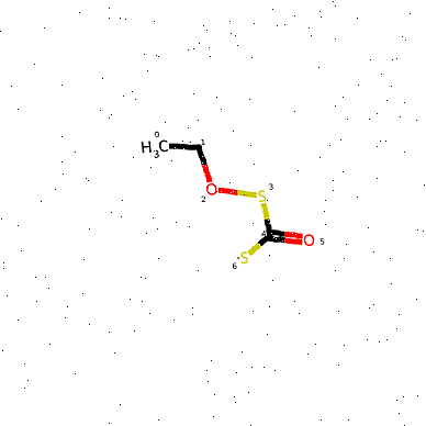 CCOSC(=O)[S]